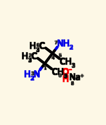 CC(C)(N)C(C)(C)N.[Na+].[OH-]